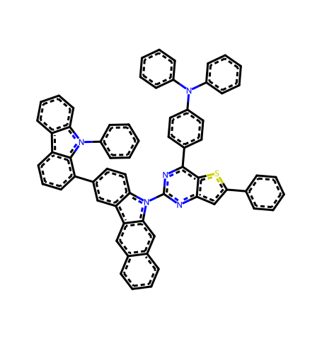 c1ccc(-c2cc3nc(-n4c5ccc(-c6cccc7c8ccccc8n(-c8ccccc8)c67)cc5c5cc6ccccc6cc54)nc(-c4ccc(N(c5ccccc5)c5ccccc5)cc4)c3s2)cc1